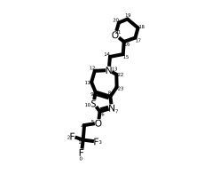 FC(F)(F)COc1nc2c(s1)CCN(CCC1CCCCO1)CC2